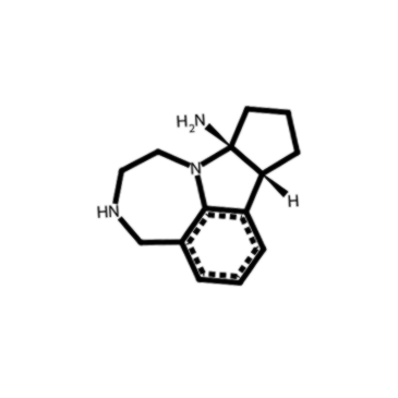 N[C@@]12CCC[C@@H]1c1cccc3c1N2CCNC3